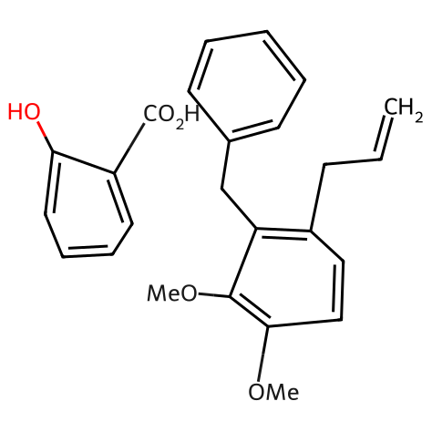 C=CCc1ccc(OC)c(OC)c1Cc1ccccc1.O=C(O)c1ccccc1O